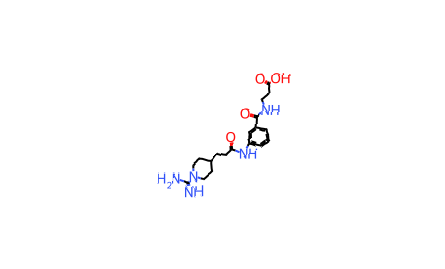 N=C(N)N1CCC(CCC(=O)Nc2cccc(C(=O)NCCC(=O)O)c2)CC1